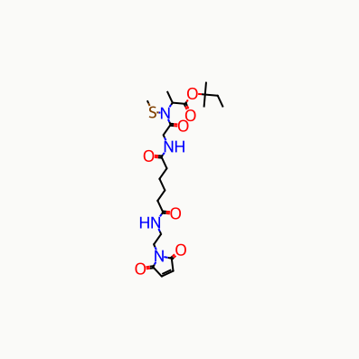 CCC(C)(C)OC(=O)C(C)N(SC)C(=O)CNC(=O)CCCCC(=O)NCCN1C(=O)C=CC1=O